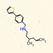 C=CCC(C)CCNCc1ccc(-c2cccs2)cc1